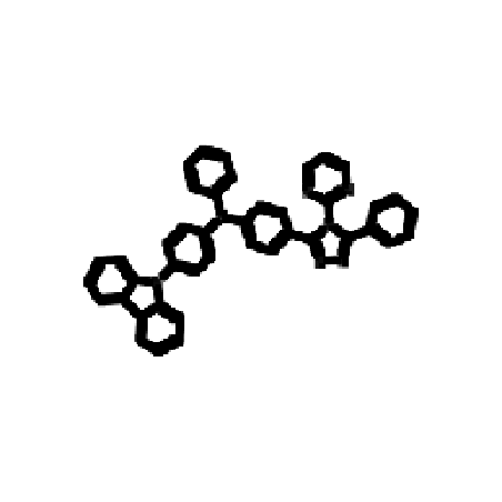 c1ccc(-c2nnc(-c3ccc(N(c4ccccc4)c4ccc(-n5c6ccccc6c6ccccc65)cc4)cc3)n2-c2ncccn2)cc1